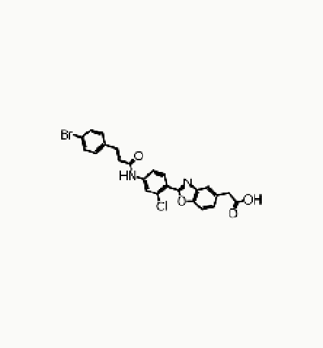 O=C(O)Cc1ccc2oc(-c3ccc(NC(=O)C=Cc4ccc(Br)cc4)cc3Cl)nc2c1